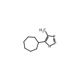 CC1=C(C2CCCCCC2)[N]P=P1